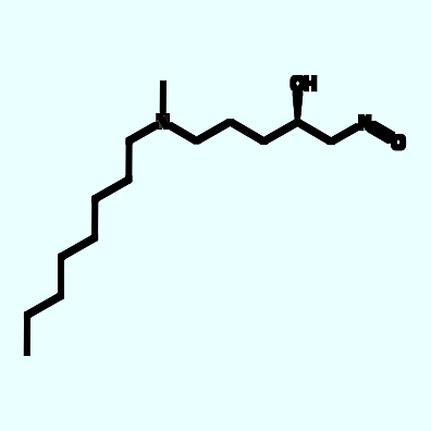 CCCCCCCCN(C)CCC[C@@H](O)CN=O